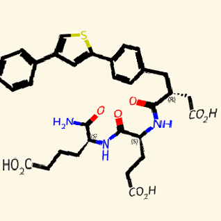 NC(=O)[C@H](CCCC(=O)O)NC(=O)[C@H](CCC(=O)O)NC(=O)[C@@H](CC(=O)O)Cc1ccc(-c2cc(-c3ccccc3)cs2)cc1